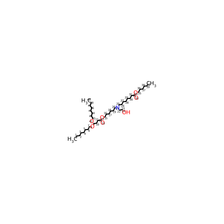 CCCCCCCCOC(CCC(=O)OCCCCCCN(CCO)CCCCCCCC(=O)OCCCCCC)OCCCCCCCC